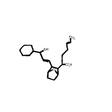 CC=CCCC(C(=O)O)C1C2CCC(O2)C1C=CC(O)C1CCCCC1